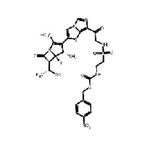 C[C@@H](O)[C@H]1C(=O)N2C(C(=O)O)=C(c3cn4cnc(C(=O)CNS(=O)(=O)CCNC(=O)OCc5ccc([N+](=O)[O-])cc5)c4s3)[C@H](C)[C@H]12